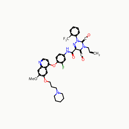 C=CCN1C(=C=O)C(C(=O)Nc2ccc(Oc3ccnc4cc(OC)c(OCCCN5CCCCC5)cc34)c(F)c2)=NN(c2ccccc2C(F)(F)F)C1=C=O